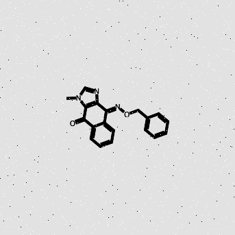 Cn1cnc2c1C(=O)c1ccccc1C2=NOCc1ccccc1